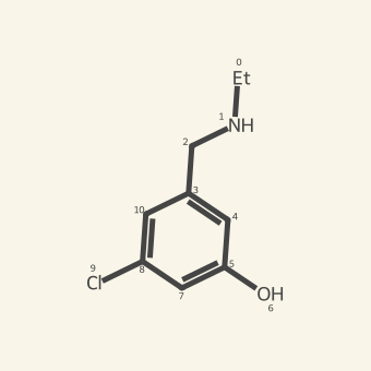 CCNCc1cc(O)cc(Cl)c1